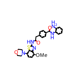 COc1ccc(N2CCOCC2)c2sc(NC(=O)Cc3ccc(C(=O)Nc4ccccc4N)cc3)nc12